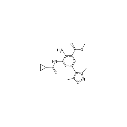 COC(=O)c1cc(-c2c(C)noc2C)cc(NC(=O)C2CC2)c1N